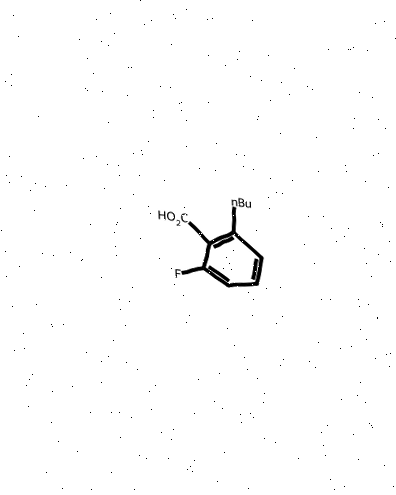 CCCCc1cccc(F)c1C(=O)O